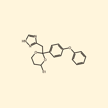 CCC1CCOC(Cc2nc[nH]n2)(c2ccc(Oc3ccccc3)cc2)O1